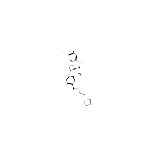 CN(C(=O)C1(N(C=S)c2ccc(F)c(C(=O)NCCN3CCCC3)c2)CCC1)c1cnc(C#N)c(C(F)(F)F)c1